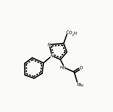 CC(C)(C)C(=O)Nc1cc(C(=O)O)nn1-c1ccccc1